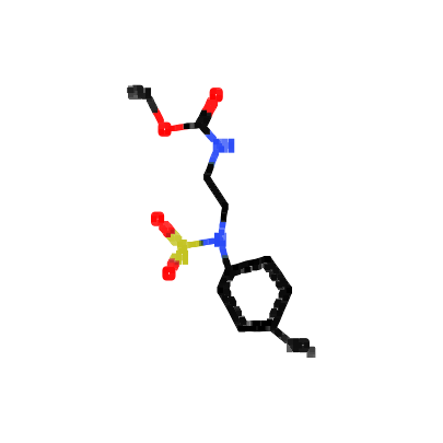 CC(C)(C)OC(=O)NCCN(c1ccc([N+](=O)[O-])cc1)[SH](=O)=O